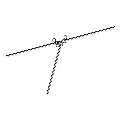 CCCCCCCCCCCCCCCCCCCCCCCCCCC(=O)OCC(COC(=O)CCCCCCCCCCCCCCCCCCCCCCCCCC)OC(=O)CCCCCCCCCCCCCCCCCCCCCCCCCC